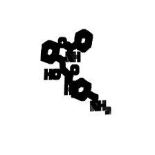 NCc1ccc(NC(=O)[C@H](O)[C@@H](NC(=O)c2ccccc2)c2ccccc2)cc1